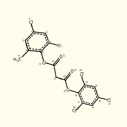 Cc1cc(Cl)cc(Cl)c1OC(=O)CC(=O)Oc1c(Cl)cc(Cl)cc1Cl